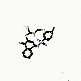 Cc1ccc(S(=O)(=O)/N=C2\C=C(SC(N)NCN)C(=O)c3ccccc32)cc1